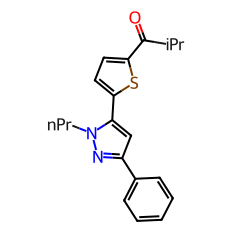 CCCn1nc(-c2ccccc2)cc1-c1ccc(C(=O)C(C)C)s1